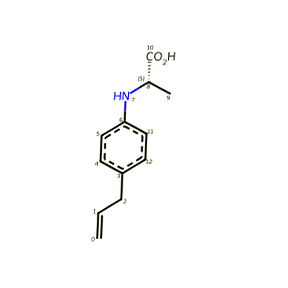 C=CCc1ccc(N[C@@H](C)C(=O)O)cc1